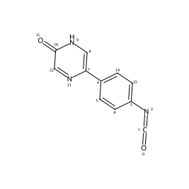 O=C=Nc1ccc(-c2c[nH]c(=O)cn2)cc1